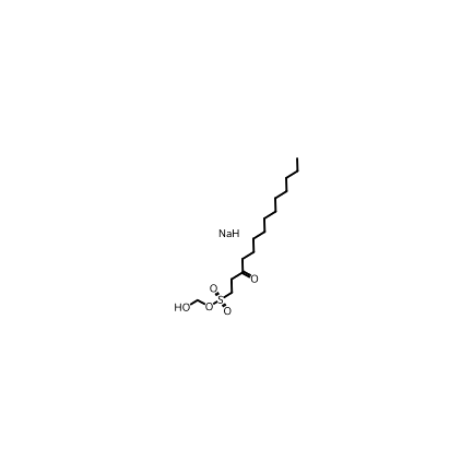 CCCCCCCCCCCC(=O)CCS(=O)(=O)OCO.[NaH]